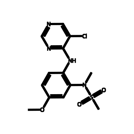 COc1ccc(Nc2ncncc2Cl)c(N(C)S(C)(=O)=O)c1